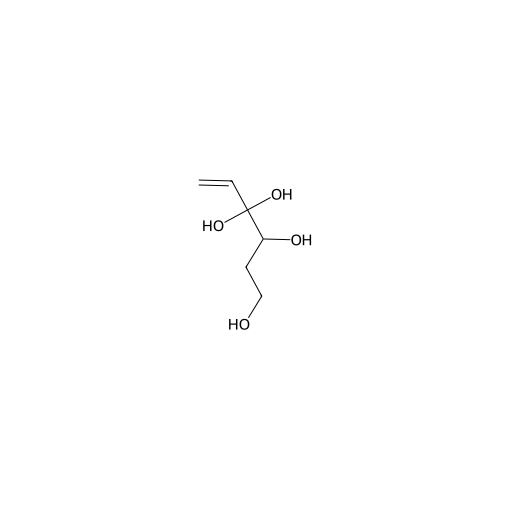 C=CC(O)(O)C(O)CCO